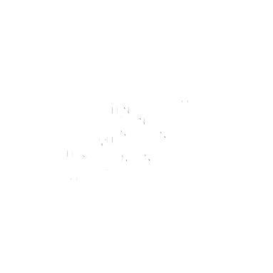 COc1ccccc1CNc1nc(N)nc2c1ncn2C1O[C@H](CO)[C@@H](O)[C@H]1O